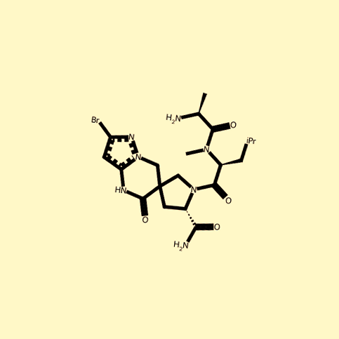 CC(C)C[C@@H](C(=O)N1CC2(C[C@H]1C(N)=O)Cn1nc(Br)cc1NC2=O)N(C)C(=O)[C@H](C)N